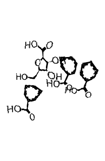 O=C(O)[C@@H]1O[C@H](CO)[C@@H](O)[C@H]1O.O=C(O)c1ccccc1.O=C(O)c1ccccc1.O=C(O)c1ccccc1